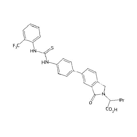 CC(C)C(C(=O)O)N1Cc2ccc(-c3ccc(NC(=S)Nc4ccccc4C(F)(F)F)cc3)cc2C1=O